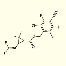 C#Cc1c(F)c(F)c(COC(=O)[C@@H]2[C@@H](C=C(F)F)C2(C)C)c(Cl)c1F